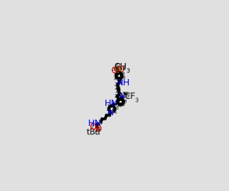 CC(C)(C)OC(=O)NCCCCCN1CCC(Nc2cccc3c2cc(C#CCNc2ccc(S(C)(=O)=O)cc2)n3CC(F)(F)F)CC1